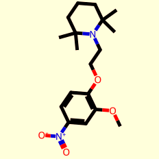 COc1cc([N+](=O)[O-])ccc1OCCN1C(C)(C)CCCC1(C)C